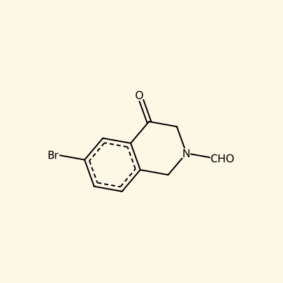 O=CN1CC(=O)c2cc(Br)ccc2C1